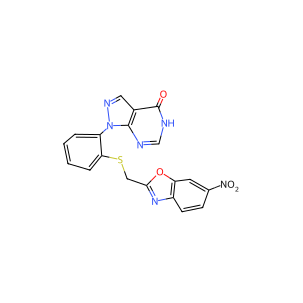 O=c1[nH]cnc2c1cnn2-c1ccccc1SCc1nc2ccc([N+](=O)[O-])cc2o1